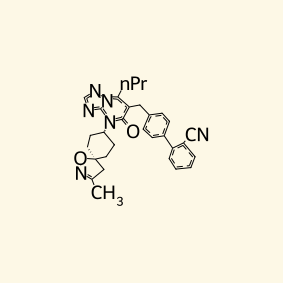 CCCc1c(Cc2ccc(-c3ccccc3C#N)cc2)c(=O)n([C@H]2CC[C@]3(CC2)CC(C)=NO3)c2ncnn12